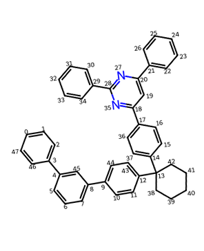 c1ccc(-c2cccc(-c3ccc(C4(c5ccc(-c6cc(-c7ccccc7)nc(-c7ccccc7)n6)cc5)CCCCC4)cc3)c2)cc1